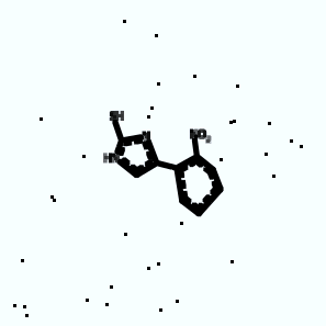 O=[N+]([O-])c1ccccc1-c1c[nH]c(S)n1